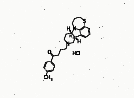 Cc1ccc(C(=O)CCCN2CC[C@H]3[C@@H](C2)c2cccc4c2N3CCCS4)cc1.Cl